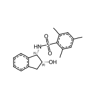 Cc1cc(C)c(S(=O)(=O)N[C@H]2c3ccccc3C[C@H]2O)c(C)c1